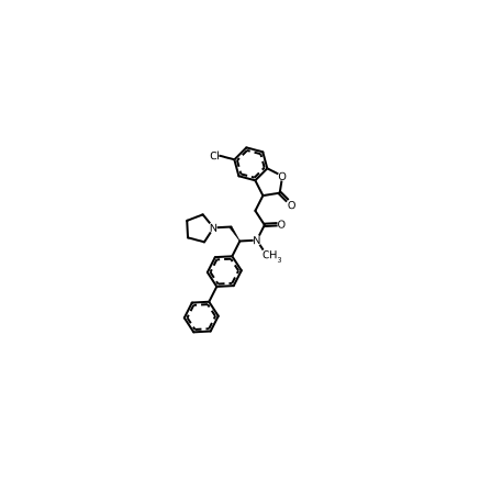 CN(C(=O)CC1C(=O)Oc2ccc(Cl)cc21)[C@H](CN1CCCC1)c1ccc(-c2ccccc2)cc1